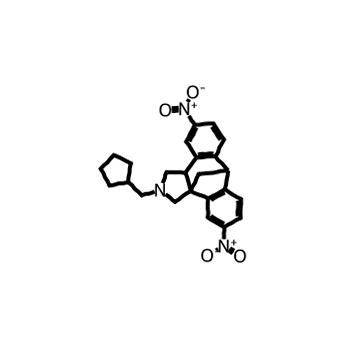 O=[N+]([O-])c1ccc2c(c1)C1CN(CC3CCCC3)CC13CC2c1ccc([N+](=O)[O-])cc13